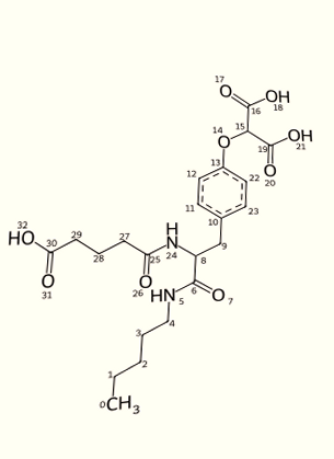 CCCCCNC(=O)C(Cc1ccc(OC(C(=O)O)C(=O)O)cc1)NC(=O)CCCC(=O)O